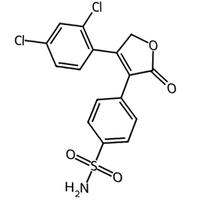 NS(=O)(=O)c1ccc(C2=C(c3ccc(Cl)cc3Cl)COC2=O)cc1